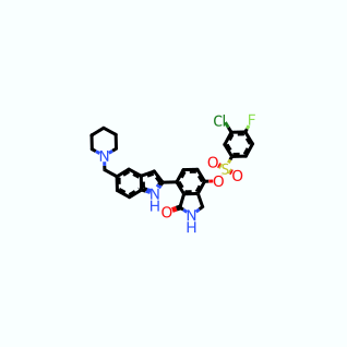 O=C1NCc2c(OS(=O)(=O)c3ccc(F)c(Cl)c3)ccc(-c3cc4cc(CN5CCCCC5)ccc4[nH]3)c21